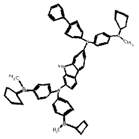 CB(c1ccc(N(c2ccc(B(C)C3CCC3)cc2)c2ccc3c(c2)[nH]c2cc(N(c4ccc(B(C)C5CCCC5)cc4)c4ccc(-c5ccccc5)cc4)ccc23)cc1)C1CCCC1